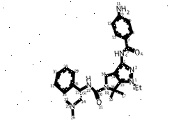 CCn1nc(NC(=O)c2ccc(N)cc2)c2c1C(C)(C)N(C(=O)N[C@H](CN(C)C)c1ccccc1)C2